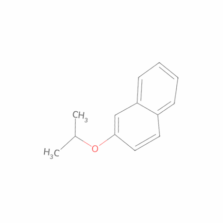 CC(C)Oc1ccc2ccccc2c1